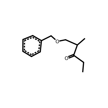 CCC(=O)C(C)COCc1ccccc1